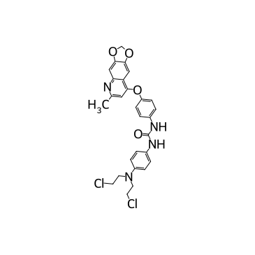 Cc1cc(Oc2ccc(NC(=O)Nc3ccc(N(CCCl)CCCl)cc3)cc2)c2cc3c(cc2n1)OCO3